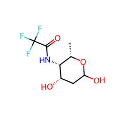 C[C@@H]1OC(O)C[C@H](O)[C@@H]1NC(=O)C(F)(F)F